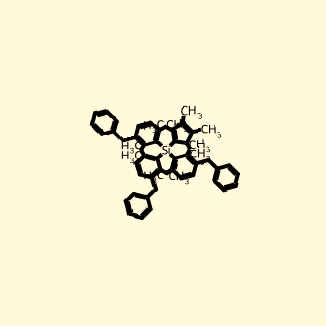 CC1=C(C)C(C)C([Si](c2c(C)ccc(Cc3ccccc3)c2C)(c2c(C)ccc(Cc3ccccc3)c2C)c2c(C)ccc(Cc3ccccc3)c2C)=C1C